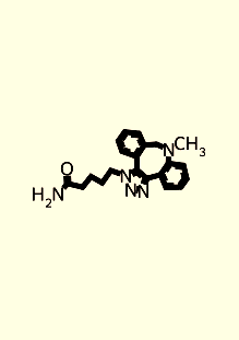 CN1Cc2ccccc2-c2c(nnn2CCCCC(N)=O)-c2ccccc21